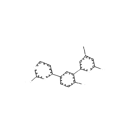 Cc1cc(N)nc(-c2cc(-c3ccnc(N)n3)ccc2O)c1